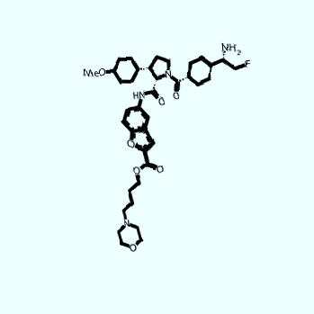 COC1CCC([C@@H]2CCN(C(=O)[C@H]3CC[C@H]([C@H](N)CF)CC3)[C@@H]2C(=O)Nc2ccc3oc(C(=O)OCCCCN4CCOCC4)cc3c2)CC1